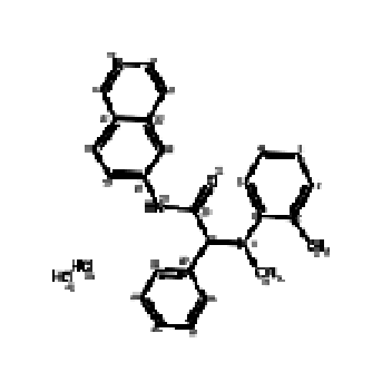 Cc1ccccc1N(C)C(C(=O)Nc1ccc2cnccc2c1)c1ccccc1.Cl.Cl